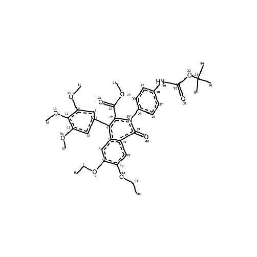 CCOc1cc2c(-c3cc(OC)c(OC)c(OC)c3)c(C(=O)OC)n(-c3ccc(NC(=O)OC(C)(C)C)cc3)c(=O)c2cc1OCC